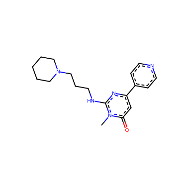 Cn1c(NCCCN2CCCCC2)nc(-c2ccncc2)cc1=O